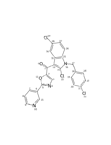 O=C(c1cnc(-c2cccnc2)o1)c1c(Cl)n(Cc2ccc(Cl)cc2)c2ccc(Cl)cc12